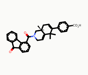 CC1(C)C(c2ccc(C(=O)O)cc2)=CC[C@@]2(C)CN(C(=O)c3cccc4c3-c3ccccc3C4=O)CC=C12